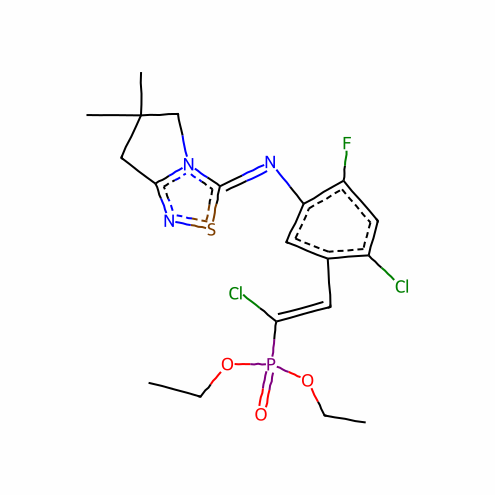 CCOP(=O)(OCC)C(Cl)=Cc1cc(N=c2snc3n2CC(C)(C)C3)c(F)cc1Cl